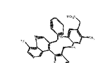 Cc1cc(NCc2ccsc2-c2c(Cc3ccccc3)cnc3c(C(F)(F)F)cccc23)c(C)cc1CC(=O)O